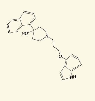 OC1(c2cccc3ccccc23)CCN(CCCOc2cccc3[nH]ccc23)CC1